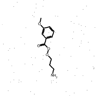 COc1cccc(C(=O)OOCCCN)c1